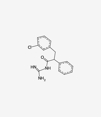 N=C(N)NC(=O)C(Cc1cccc(Cl)c1)c1ccccc1